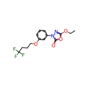 CCOc1nn(-c2cccc(OCCCC(F)(F)F)c2)c(=O)o1